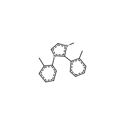 Cc1ccccc1-c1n(-c2ccccc2C)cc[n+]1C